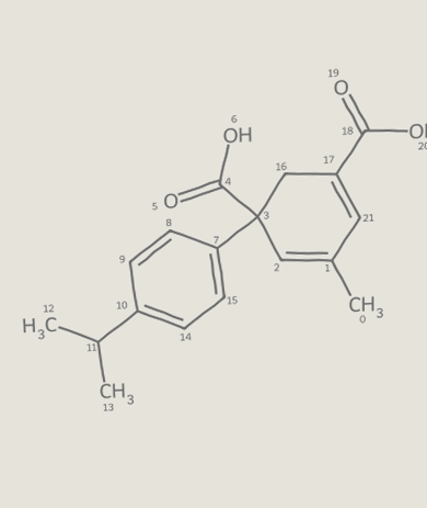 CC1=CC(C(=O)O)(c2ccc(C(C)C)cc2)CC(C(=O)O)=C1